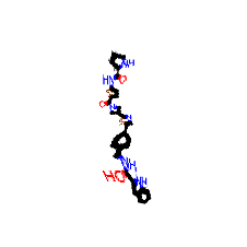 O=C(Nc1ccc(C(=O)N2CC(c3ncc(-c4ccc(CNC(O)c5cc6ccccc6[nH]5)cc4)s3)C2)s1)[C@@H]1CCCN1